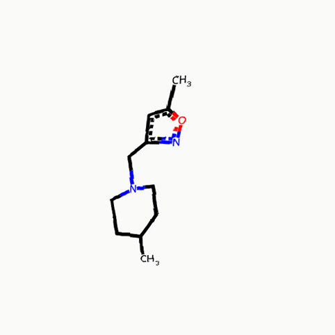 Cc1cc(CN2CCC(C)CC2)no1